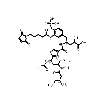 CC[C@H](C)CC(=O)N(C)C(C[C@@H](OC(C)=O)c1nc(C(=O)N[C@@H](Cc2ccc(OP(=O)(O)O)c(NC(=O)CCCCN3C(=O)C=CC3=O)c2)CC(C)C(=O)O)cs1)C(C)C